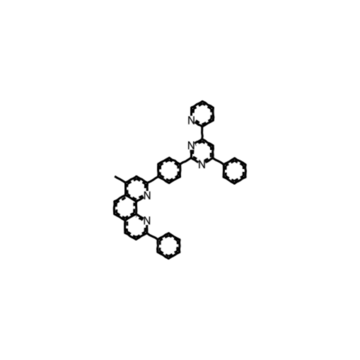 Cc1cc(-c2ccc(-c3nc(-c4ccccc4)cc(-c4ccccn4)n3)cc2)nc2c1ccc1ccc(-c3ccccc3)nc12